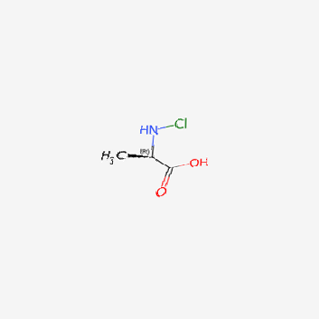 C[C@@H](NCl)C(=O)O